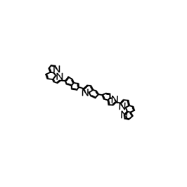 c1cnc2c(c1)ccc1ccc(-c3ccc4cc(-c5ccc6cc(-c7ccc8nc(-c9ccc%10ccc%11cccnc%11c%10n9)ccc8c7)ccc6n5)ccc4c3)nc12